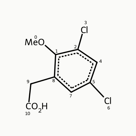 COc1c(Cl)cc(Cl)cc1CC(=O)O